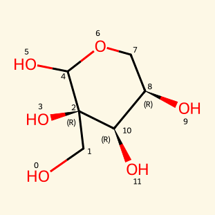 OC[C@]1(O)C(O)OC[C@@H](O)[C@H]1O